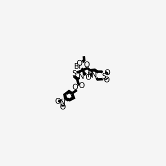 CC(=O)OC(c1cc2n(n1)CCS(=O)(=O)C2)C1(Br)C(=O)N2C(C(=O)OCc3ccc([N+](=O)[O-])cc3)=CSC21